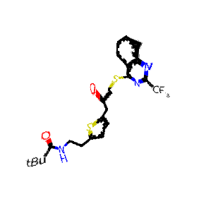 CC(C)(C)C(=O)NCCc1ccc(C(=O)CSc2nc(C(F)(F)F)nc3ccccc23)s1